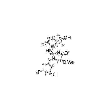 COc1cn(Cc2cc(F)cc(Cl)c2)c(Nc2cc(C(C)(C)O)ccc2C)nc1=O